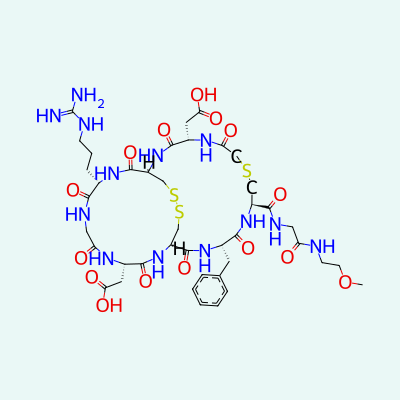 COCCNC(=O)CNC(=O)[C@@H]1CSCC(=O)N[C@@H](CC(=O)O)C(=O)N[C@H]2CSSC[C@H](NC(=O)[C@H](CC(=O)O)NC(=O)CNC(=O)[C@H](CCCNC(=N)N)NC2=O)C(=O)N[C@@H](Cc2ccccc2)C(=O)N1